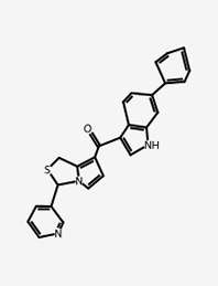 O=C(c1ccn2c1CSC2c1cccnc1)c1c[nH]c2cc(-c3ccccc3)ccc12